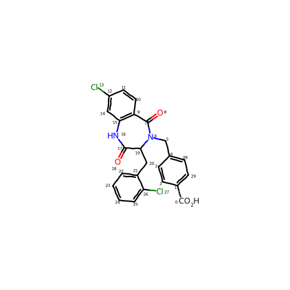 O=C(O)c1ccc(CN2C(=O)c3ccc(Cl)cc3NC(=O)C2Cc2ccccc2Cl)cc1